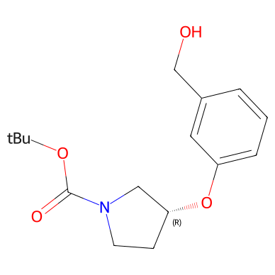 CC(C)(C)OC(=O)N1CC[C@@H](Oc2cccc(CO)c2)C1